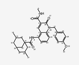 CNC(=O)c1cc2c(NC(=O)C34CC(C)CC(CC(C)C3)C4)cccc2n(Cc2ccc(OC)cc2)c1=O